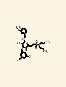 CCCN(CCC)S(=O)(=O)CCC(=O)N[C@@H](Cc1cc(Cl)cc(Cl)c1)[C@H](O)CNCc1cccc(OC)c1